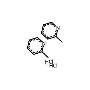 Cc1ccccn1.Cc1ccccn1.Cl.Cl